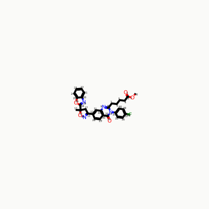 COC(=O)CCCCc1nc2cc(C3=NOC(C)(c4nc5ccccc5o4)C3)ccc2c(=O)n1-c1ccc(F)cc1